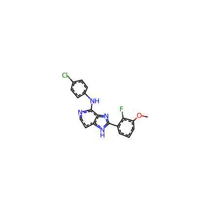 COc1cccc(-c2nc3c(Nc4ccc(Cl)cc4)nccc3[nH]2)c1F